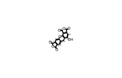 O=C1OC(=O)c2cc(Cc3cc4c(cc3O)C(=O)OC4=O)c(O)cc21